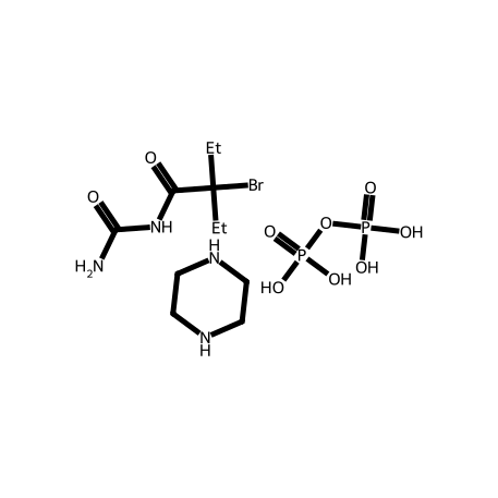 C1CNCCN1.CCC(Br)(CC)C(=O)NC(N)=O.O=P(O)(O)OP(=O)(O)O